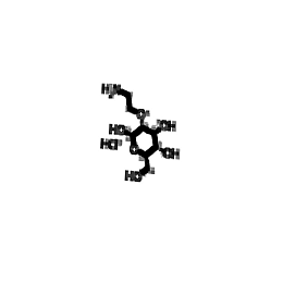 Cl.NCCO[C@@H]1[C@@H](O)[C@H](O)[C@@H](CO)O[C@H]1O